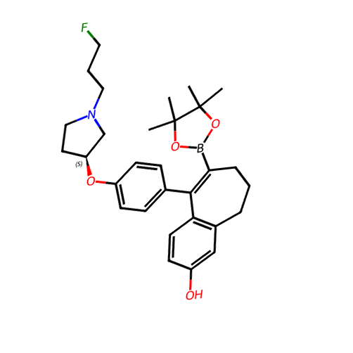 CC1(C)OB(C2=C(c3ccc(O[C@H]4CCN(CCCF)C4)cc3)c3ccc(O)cc3CCC2)OC1(C)C